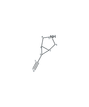 [C]#CC1C2CNCC12